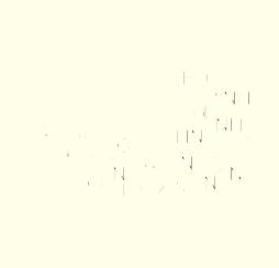 CC(=N)/C=C(\N)Nc1cc(N2CCC2)nc(Sc2ccc(NC(=O)c3ccc(-c4ccccc4)cc3Cl)cc2)n1